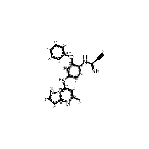 C#CC(=N)Nc1ncc(Sc2cc(C)nc3ccnn23)cc1Oc1ccccc1